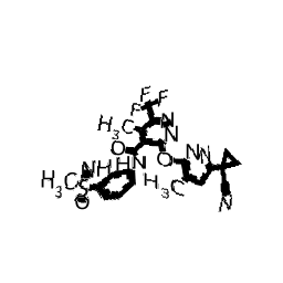 Cc1cc(C2(C#N)CC2)nnc1Oc1nnc(C(F)(F)F)c(C)c1C(=O)Nc1cccc(S(C)(=N)=O)c1